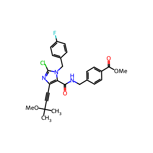 COC(=O)c1ccc(CNC(=O)c2c(C#CC(C)(C)OC)nc(Cl)n2Cc2ccc(F)cc2)cc1